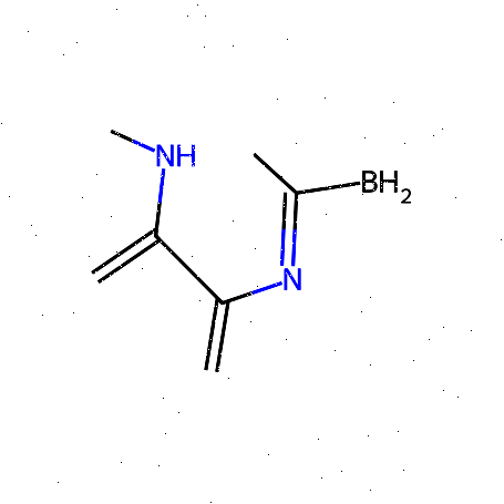 B/C(C)=N/C(=C)C(=C)NC